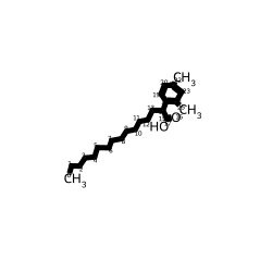 CCCCCCCCCCCCCCC(C(=O)O)c1ccc(C)cc1C